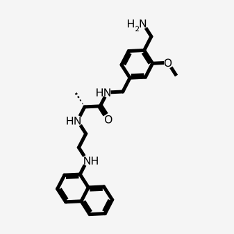 COc1cc(CNC(=O)[C@@H](C)NCCNc2cccc3ccccc23)ccc1CN